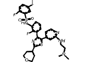 CN(C)CCNc1cc(-c2sc(C3CCOCC3)nc2-c2cccc(NS(=O)(=O)c3cc(F)ccc3F)c2F)ccn1